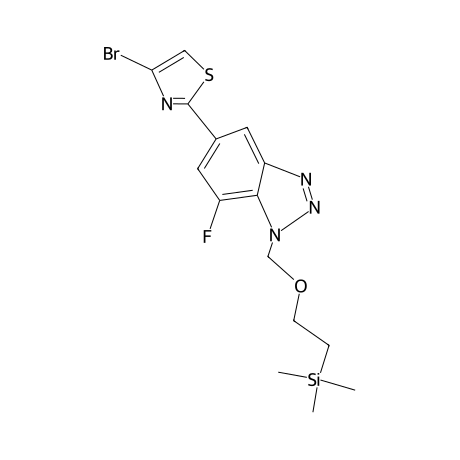 C[Si](C)(C)CCOCn1nnc2cc(-c3nc(Br)cs3)cc(F)c21